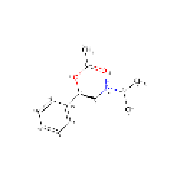 CC(=O)O[C@@H](CNC(C)C)c1ccccc1